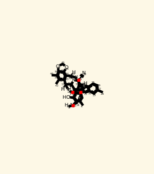 COc1c(C)cc2c(c1O)[C@H]1[C@@H]3[C@@H]4SC[C@]5(N[C@H](CN)Cc6c5[nH]c5ccc(C)cc65)C(=O)OC[C@@H](c5c6c(c(C)c(C)c54)OCO6)N3[C@@H](C#N)[C@@H](C2)N1C